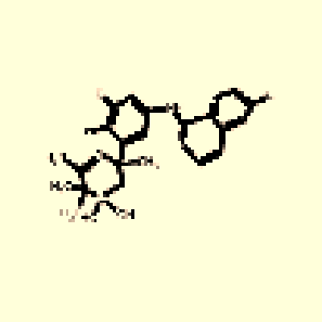 CC1(C)C(N)=N[C@](C)(c2cc(Nc3nccc4cc(Cl)cnc34)cc(F)c2F)CS1(O)O